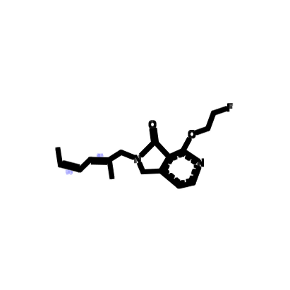 C/C=C\C=C(/C)CN1Cc2ccnc(OCCF)c2C1=O